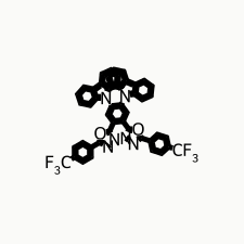 FC(F)(F)c1ccc(-c2nnc(-c3cc(-n4c5ccccc5c5ccccc54)c(-n4c5ccccc5c5ccccc54)cc3-c3nnc(-c4ccc(C(F)(F)F)cc4)o3)o2)cc1